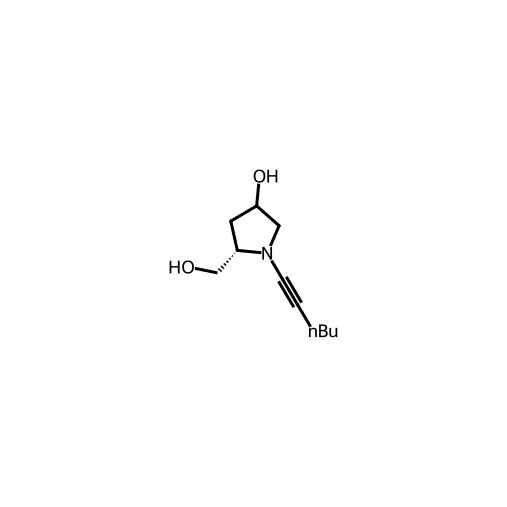 CCCCC#CN1CC(O)C[C@H]1CO